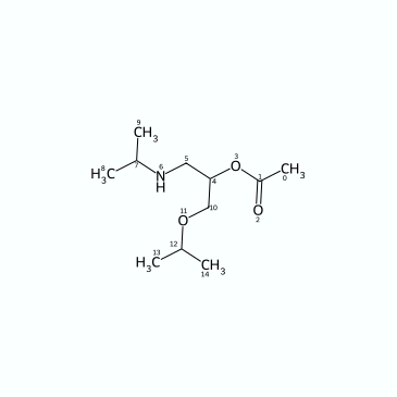 CC(=O)OC(CNC(C)C)COC(C)C